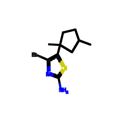 CCc1nc(N)sc1C1(C)CCC(C)C1